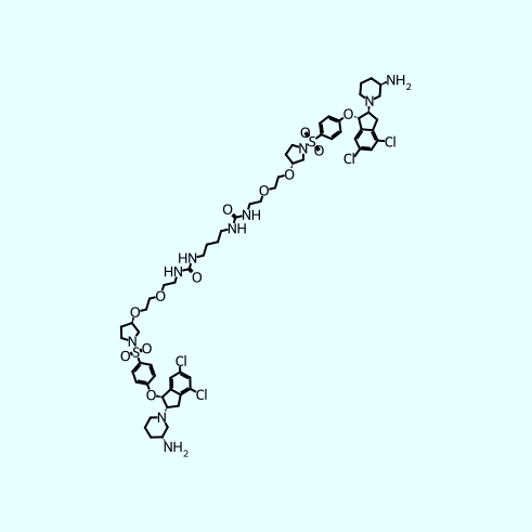 N[C@@H]1CCCN([C@H]2Cc3c(Cl)cc(Cl)cc3[C@@H]2Oc2ccc(S(=O)(=O)N3CC[C@@H](OCCOCCNC(=O)NCCCCNC(=O)NCCOCCO[C@@H]4CCN(S(=O)(=O)c5ccc(O[C@H]6c7cc(Cl)cc(Cl)c7C[C@@H]6N6CCC[C@@H](N)C6)cc5)C4)C3)cc2)C1